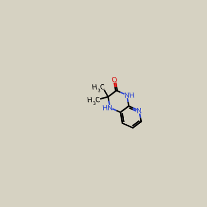 CC1(C)Nc2cccnc2NC1=O